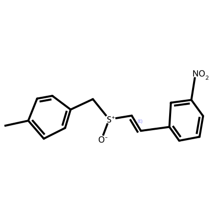 Cc1ccc(C[S+]([O-])/C=C/c2cccc([N+](=O)[O-])c2)cc1